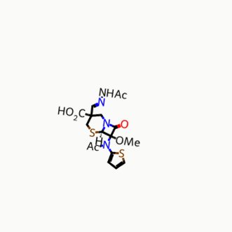 COC1(N(C(C)=O)c2cccs2)C(=O)N2CC(C=NNC(C)=O)(C(=O)O)CS[C@@H]21